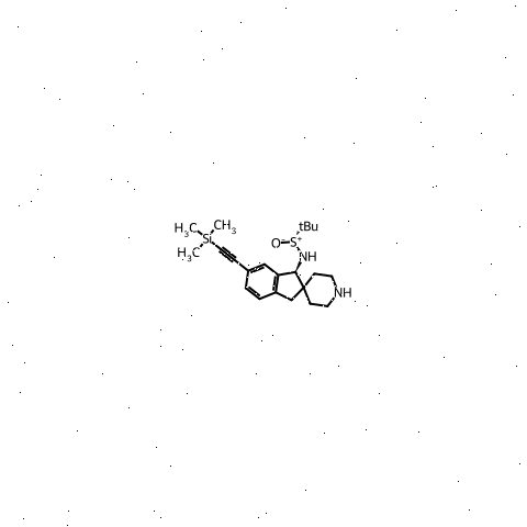 CC(C)(C)[S@@+]([O-])N[C@@H]1c2cc(C#C[Si](C)(C)C)ccc2CC12CCNCC2